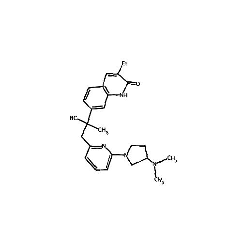 CCc1cc2ccc(C(C)(C#N)Cc3cccc(N4CCC(N(C)C)C4)n3)cc2[nH]c1=O